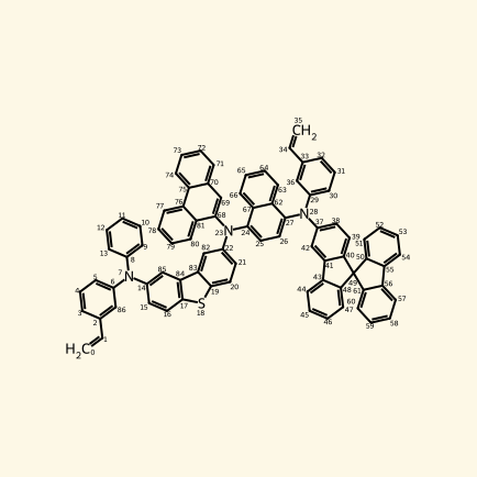 C=Cc1cccc(N(c2ccccc2)c2ccc3sc4ccc(N(c5ccc(N(c6cccc(C=C)c6)c6ccc7c(c6)-c6ccccc6C76c7ccccc7-c7ccccc76)c6ccccc56)c5cc6ccccc6c6ccccc56)cc4c3c2)c1